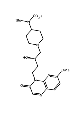 COc1ccc2ncc(=O)n(CC[C@@H](O)CN3CCC(N(C(=O)O)C(C)(C)C)CC3)c2n1